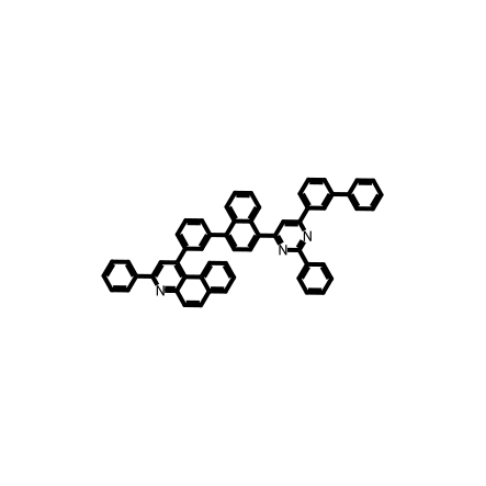 c1ccc(-c2cccc(-c3cc(-c4ccc(-c5cccc(-c6cc(-c7ccccc7)nc7ccc8ccccc8c67)c5)c5ccccc45)nc(-c4ccccc4)n3)c2)cc1